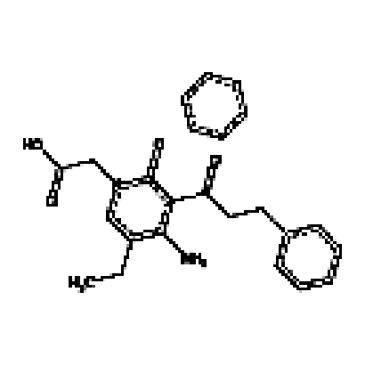 CCc1cn(CC(=O)O)c(=O)c(C(=O)CCc2ccccc2)c1N.c1ccccc1